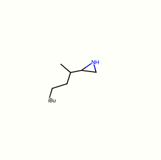 CCC(C)CCC(C)C1CN1